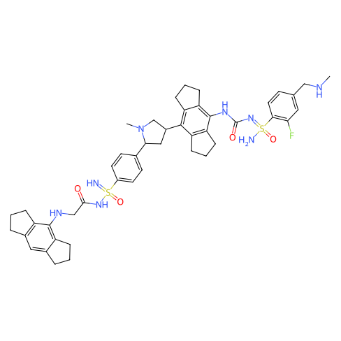 CNCc1ccc(S(N)(=O)=NC(=O)Nc2c3c(c(C4CC(c5ccc(S(=N)(=O)NC(=O)CNc6c7c(cc8c6CCC8)CCC7)cc5)N(C)C4)c4c2CCC4)CCC3)c(F)c1